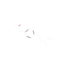 CNN(C)CCc1ccc(NC(C)=O)cc1